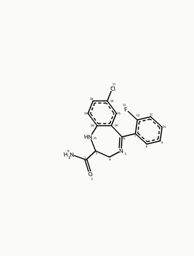 NC(=O)C1CN=C(c2ccccc2F)c2cc(Cl)ccc2N1